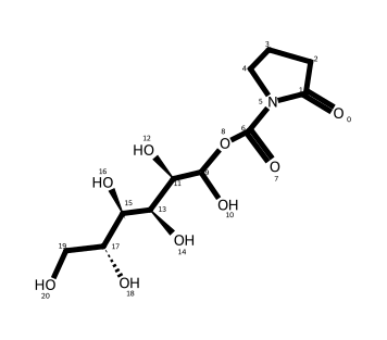 O=C1CCCN1C(=O)OC(O)[C@H](O)[C@@H](O)[C@H](O)[C@H](O)CO